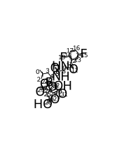 CC(C)CC(NC(=O)CNC(=O)c1cc(F)ccc1F)B1OC(=O)C(CC(=O)O)(CC(=O)O)O1